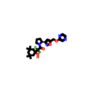 CC1(C)CC(C)(C)CC(O)(C(F)(F)C(=O)N2CCC[C@H]2c2cc(COc3cnccn3)on2)C1